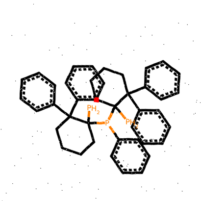 PC1(P(c2ccccc2)C2(P)CCCCC2(c2ccccc2)c2ccccc2)CCCCC1(c1ccccc1)c1ccccc1